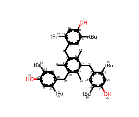 Cc1c(Cc2cc(C(C)(C)C)c(O)cc2C(C)(C)C)c(C)c(Cc2cc(C(C)(C)C)c(O)cc2C(C)(C)C)c(C)c1Cc1cc(C(C)(C)C)c(O)cc1C(C)(C)C